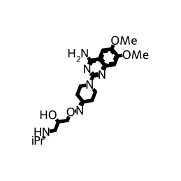 COc1cc2nc(N3CCC(=NOCC(O)CNC(C)C)CC3)nc(N)c2cc1OC